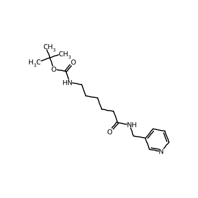 CC(C)(C)OC(=O)NCCCCCC(=O)NCc1cccnc1